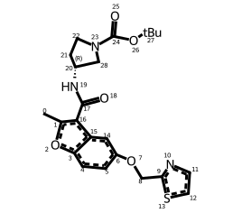 Cc1oc2ccc(OCc3nccs3)cc2c1C(=O)N[C@@H]1CCN(C(=O)OC(C)(C)C)C1